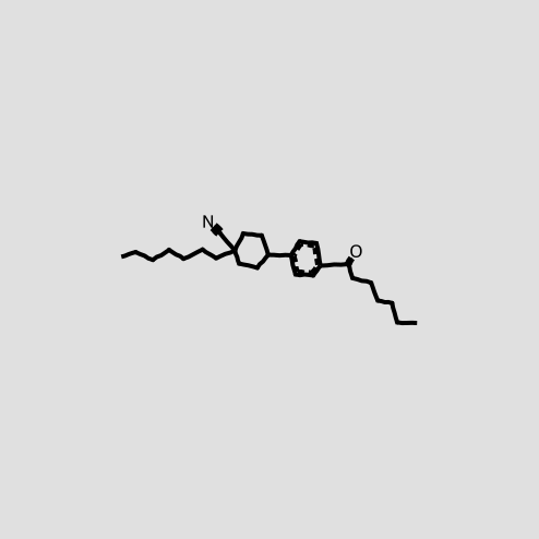 CCCCCCCC1(C#N)CCC(c2ccc(C(=O)CCCCCC)cc2)CC1